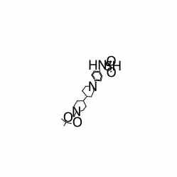 CC(C)(C)OC(=O)N1CCC(C2CCN(c3ccc(N[SH](=O)=O)cc3)CC2)CC1